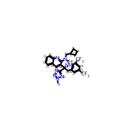 CCN(CC1CCC1)c1nc2ccccc2cc1C(N)(Cc1cc(C(F)(F)F)cc(C(F)(F)F)c1)c1nnn(C)n1